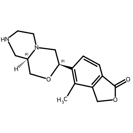 Cc1c([C@@H]2CN3CCNC[C@@H]3CO2)ccc2c1COC2=O